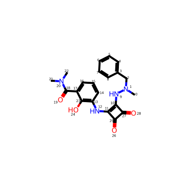 CN(Cc1ccccc1)Nc1c(Nc2cccc(C(=O)N(C)C)c2O)c(=O)c1=O